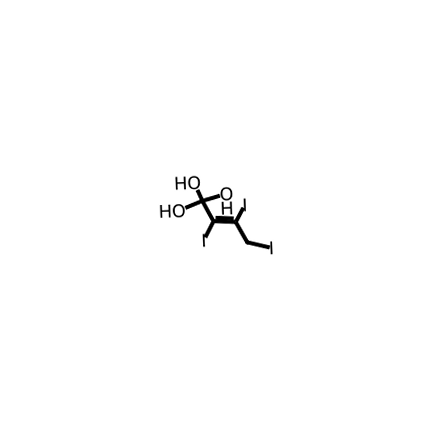 OC(O)(O)/C(I)=C(\I)CI